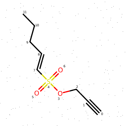 C#CCOS(=O)(=O)/C=C/CCC